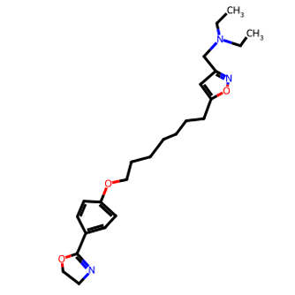 CCN(CC)Cc1cc(CCCCCCCOc2ccc(C3=NCCO3)cc2)on1